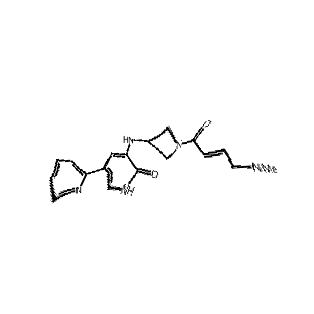 CNC/C=C/C(=O)N1CC(Nc2cc(-c3ccccn3)c[nH]c2=O)C1